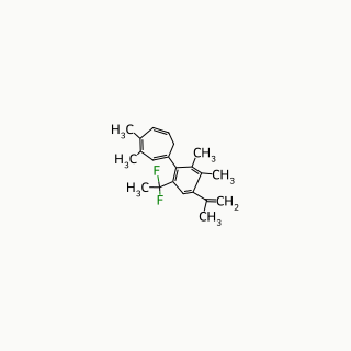 C=C(C)c1cc(C(C)(F)F)c(C2=CC(C)=C(C)C=CC2)c(C)c1C